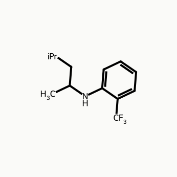 CC(C)CC(C)Nc1ccccc1C(F)(F)F